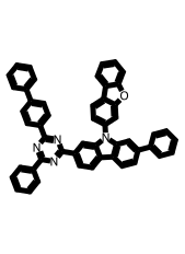 c1ccc(-c2ccc(-c3nc(-c4ccccc4)nc(-c4ccc5c6ccc(-c7ccccc7)cc6n(-c6ccc7c(c6)oc6ccccc67)c5c4)n3)cc2)cc1